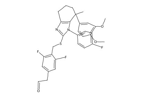 COc1ccc(C2(C)CCCc3nc(SCc4c(F)cc(CC=O)cc4F)n(-c4ccc(F)cc4)c32)cc1OC